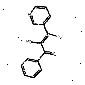 O=C(C(O)=C(O)c1cccnc1)c1ccccc1